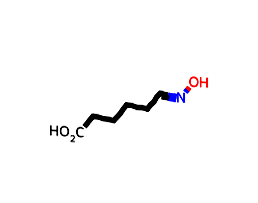 O=C(O)CCCCC=NO